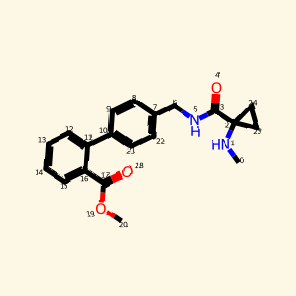 CNC1(C(=O)NCc2ccc(-c3ccccc3C(=O)OC)cc2)CC1